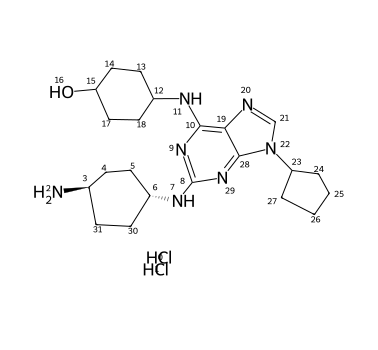 Cl.Cl.N[C@H]1CC[C@H](Nc2nc(NC3CCC(O)CC3)c3ncn(C4CCCC4)c3n2)CC1